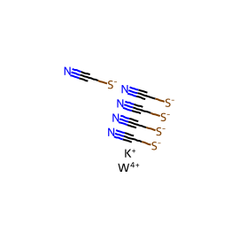 N#C[S-].N#C[S-].N#C[S-].N#C[S-].N#C[S-].[K+].[W+4]